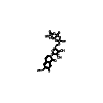 COc1cc2ccn([C@@H]3O[C@H](COP(=O)(O)OP(=O)(O)OP(=O)(O)O)[C@@H](O)[C@H]3O)c(=O)c2cc1F